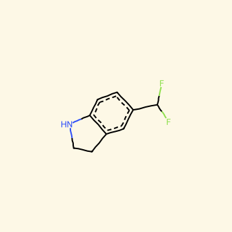 FC(F)c1ccc2c(c1)CCN2